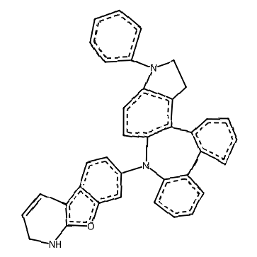 C1=Cc2c(oc3cc(N4c5ccccc5-c5ccccc5-c5c4ccc4c5CCN4c4ccccc4)ccc23)NC1